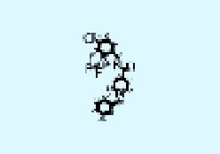 O=C(NCc1ccc(Cl)cc1OC(F)(F)F)C1CCN(Cc2ccccc2)CC1